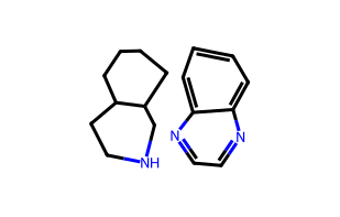 C1CCC2CNCCC2C1.c1ccc2nccnc2c1